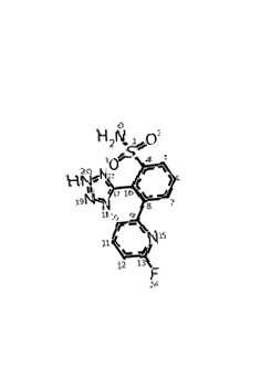 NS(=O)(=O)c1cccc(-c2cccc(F)n2)c1-c1nn[nH]n1